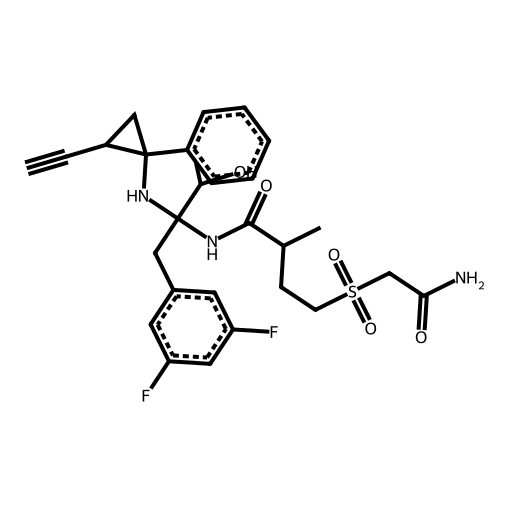 C#CC1CC1(NC(Cc1cc(F)cc(F)c1)(NC(=O)C(C)CCS(=O)(=O)CC(N)=O)C(C)O)c1ccccc1